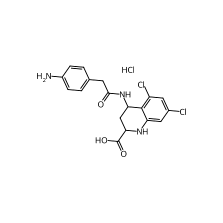 Cl.Nc1ccc(CC(=O)NC2CC(C(=O)O)Nc3cc(Cl)cc(Cl)c32)cc1